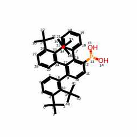 CC(C)(C)c1cccc(-c2ccc(P(O)O)c(-c3ccccc3)c2-c2cccc(C(C)(C)C)c2C(C)(C)C)c1C(C)(C)C